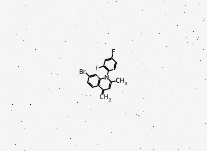 C=C1C=C(C)N(c2ccc(F)cc2F)c2cc(Br)ccc21